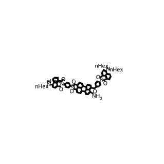 CCCCCCN(CCCCCC)c1ccc2c3c(cccc13)C(=O)N(c1ccc(Cc3ccc4c5ccc6c7c(ccc(c8ccc(C(N)=O)c3c48)c75)C(=O)N(c3ccc(N4C(=O)c5cccc7c(N(CCCCCC)CCCCCC)ccc(c57)C4=O)cc3)C6=O)cc1)C2=O